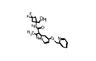 Cc1nn2ccc(OCc3ccccn3)cc2c1C(=O)NC1(CO)CC(F)(F)C1